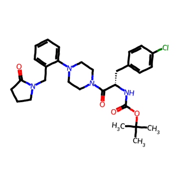 CC(C)(C)OC(=O)N[C@@H](Cc1ccc(Cl)cc1)C(=O)N1CCN(c2ccccc2CN2CCCC2=O)CC1